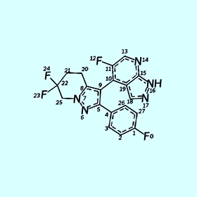 Fc1ccc(-c2nn3c(c2-c2c(F)cnc4[nH]ncc24)CCC(F)(F)C3)cc1